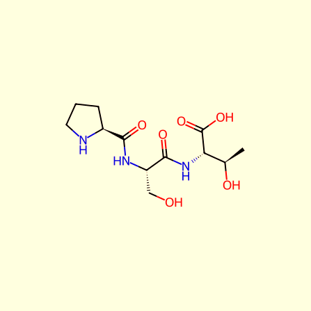 C[C@@H](O)[C@H](NC(=O)[C@H](CO)NC(=O)[C@@H]1CCCN1)C(=O)O